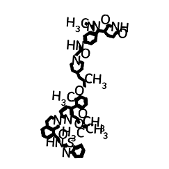 Cc1c(OCC(C)CC2CCN(CC(=O)Nc3ccc4c(C5CCC(=O)NC5=O)nn(C)c4c3)CC2)cccc1-c1ccc(N2CCc3cccc(C(=O)Nc4nc5ccccc5s4)c3C2)nc1C(=O)OC(C)(C)C